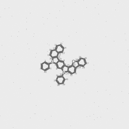 c1ccc(-n2c3cc4c(cc3c3c5ccccc5ccc32)c2c3oc5ccccc5c3ccc2n4-c2ccccc2)cc1